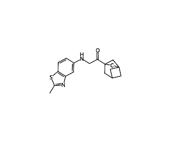 Cc1nc2cc(NCC(=O)C34CC5CC(C5)(C3)C4)ccc2s1